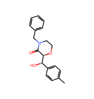 Cc1ccc([C@@H](O)[C@@H]2OCCN(Cc3ccccc3)C2=O)cc1